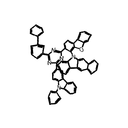 c1ccc(-c2cccc(-c3nc(-c4ccc5c(c4)c4ccccc4n5-c4ccccc4)nc(-c4ccc5c(oc6ccccc65)c4-n4c5ccccc5c5cc6ccccc6cc54)n3)c2)cc1